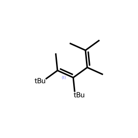 CC(C)=C(C)/C(=C(\C)C(C)(C)C)C(C)(C)C